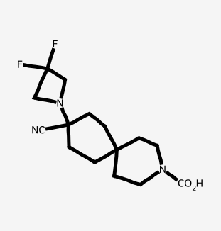 N#CC1(N2CC(F)(F)C2)CCC2(CCN(C(=O)O)CC2)CC1